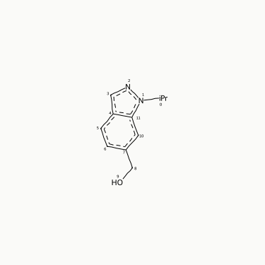 CC(C)n1ncc2ccc(CO)cc21